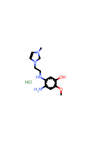 COc1cc(N)c(NCCN2C=CN(C)C2)cc1O.Cl